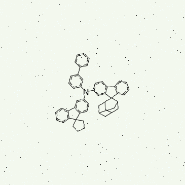 c1ccc(-c2cccc(N(c3ccc4c(c3)-c3ccccc3C43CCCC3)c3ccc4c(c3)C3(c5ccccc5-4)C4CC5CC(C4)CC3C5)c2)cc1